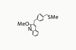 COc1nc2ccccc2cc1Cc1ccc(CSC)cc1